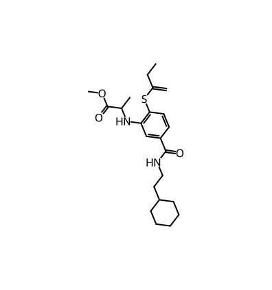 C=C(CC)Sc1ccc(C(=O)NCCC2CCCCC2)cc1NC(C)C(=O)OC